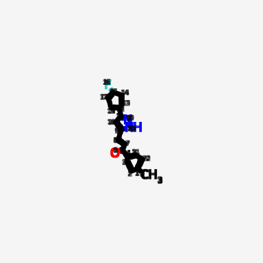 Cc1ccc(C(=O)/C=C/c2cc(-c3ccc(F)cc3)n[nH]2)cc1